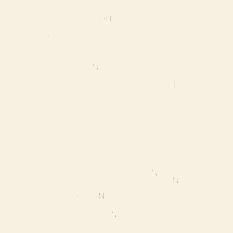 O[C@H]1COC[C@H]1N1CCC(c2cc3c(cnn3-c3cnn(C45CC(C4)C5)c3)cc2Cl)CC1